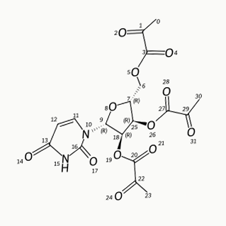 CC(=O)C(=O)OC[C@H]1O[C@@H](n2ccc(=O)[nH]c2=O)[C@H](OC(=O)C(C)=O)[C@@H]1OC(=O)C(C)=O